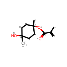 C=C(C)C(=O)OC1(C)CCC(O)(C(F)(F)F)CC1